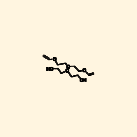 C=COCCOCCOC=C.OCCOCCO